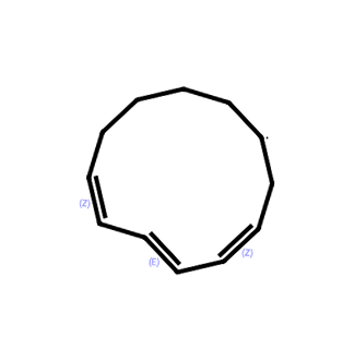 [CH]1C\C=C/C=C/C=C\CCCC1